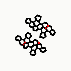 c1ccc(-c2c3ccccc3c(-c3ccccc3-c3cccc4ccccc34)c3ccccc23)c(-c2cccc3ccccc23)c1.c1ccc(-c2c3ccccc3c(-c3ccccc3-c3cccc4ccccc34)c3ccccc23)c(-c2cccc3ccccc23)c1